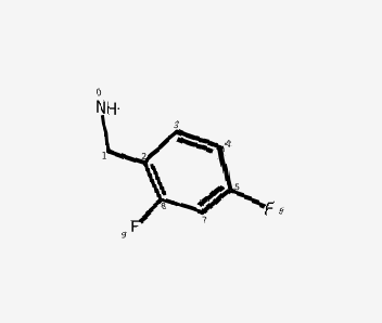 [NH]Cc1ccc(F)cc1F